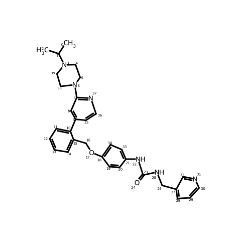 CC(C)N1CCN(c2cc(-c3ccccc3COc3ccc(NC(=O)NCc4cccnc4)cc3)ccn2)CC1